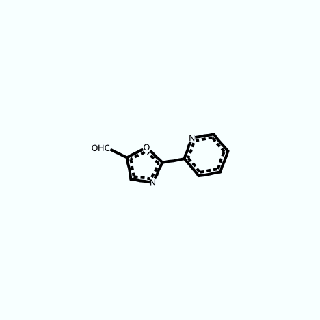 O=Cc1cnc(-c2ccccn2)o1